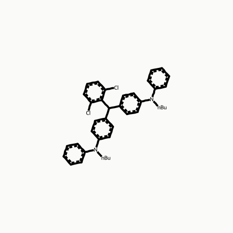 CCCCN(c1ccccc1)c1ccc(C(c2ccc(N(CCCC)c3ccccc3)cc2)c2c(Cl)cccc2Cl)cc1